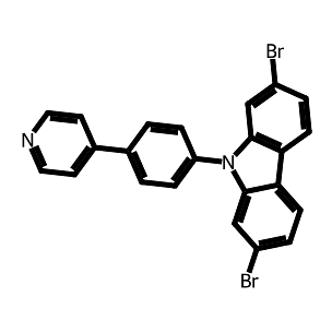 Brc1ccc2c3ccc(Br)cc3n(-c3ccc(-c4ccncc4)cc3)c2c1